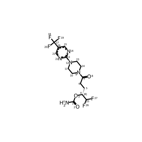 NC(=O)O[C@H](CCC(=O)N1CCN(c2ncc(C(F)(F)F)cn2)CC1)C(F)F